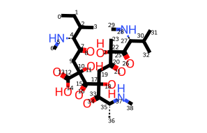 CCC(C)[C@@H](NC)C(=O)CC(O)(C(=O)O)C(=O)C(O)(CC(=O)C(C)(O)C(=O)[C@H](NC)C(C)C)C(=O)[C@@H](C)NC